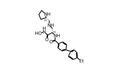 CCc1ccc(-c2ccc(C(=O)N[C@@H](CNC[C@@H]3CCCN3)C(=O)NO)cc2)cc1